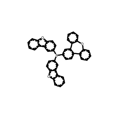 c1ccc2c(c1)Oc1ccccc1-c1cc(N(c3ccc4oc5ccccc5c4c3)c3ccc4oc5ccccc5c4c3)ccc1-2